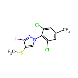 FC(F)(F)Sc1cn(-c2c(Cl)cc(C(F)(F)F)cc2Cl)nc1I